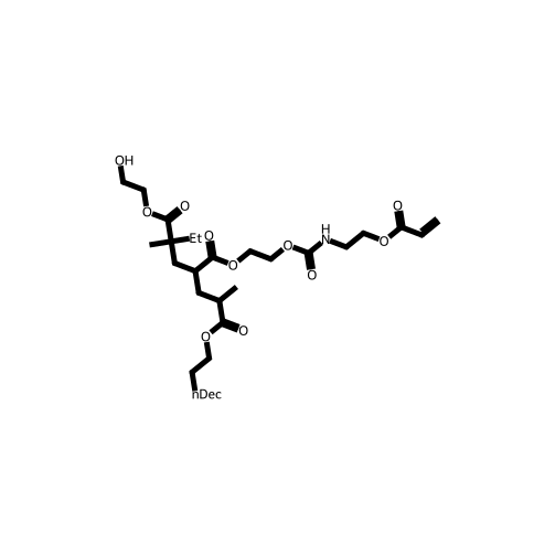 C=CC(=O)OCCNC(=O)OCCOC(=O)C(CC(C)C(=O)OCCCCCCCCCCCC)CC(C)(CC)C(=O)OCCO